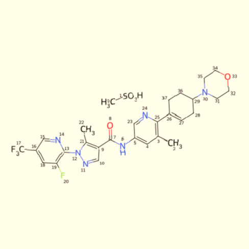 CS(=O)(=O)O.Cc1cc(NC(=O)c2cnn(-c3ncc(C(F)(F)F)cc3F)c2C)cnc1C1=CCC(N2CCOCC2)CC1